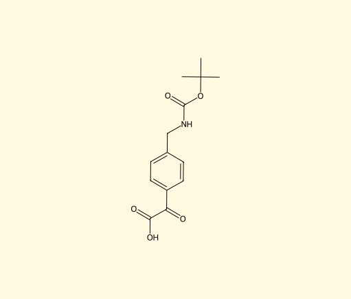 CC(C)(C)OC(=O)NCc1ccc(C(=O)C(=O)O)cc1